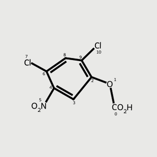 O=C(O)Oc1cc([N+](=O)[O-])c(Cl)cc1Cl